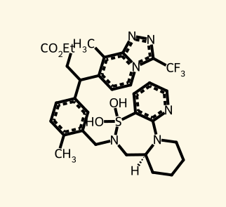 CCOC(=O)CC(c1ccc(C)c(CN2C[C@@H]3CCCCN3c3ncccc3S2(O)O)c1)c1ccn2c(C(F)(F)F)nnc2c1C